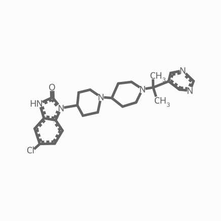 CC(C)(c1cncnc1)N1CCC(N2CCC(n3c(=O)[nH]c4cc(Cl)ccc43)CC2)CC1